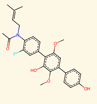 COc1cc(-c2ccc(O)cc2)c(OC)c(O)c1-c1ccc(N(CC=C(C)C)C(C)=O)c(F)c1